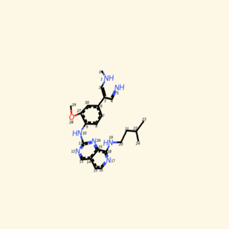 CN/C=C(\C=N)c1ccc(Nc2ncc3ccnc(NCCC(C)C)c3n2)c(OC)c1